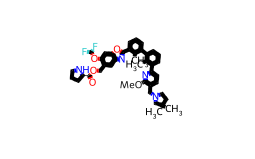 COc1nc(-c2cccc(-c3cccc(-c4nc5cc(COC(=O)[C@@H]6CCCN6)c(OC(F)F)cc5o4)c3C)c2C)ccc1CN1CCC(C)(C)C1